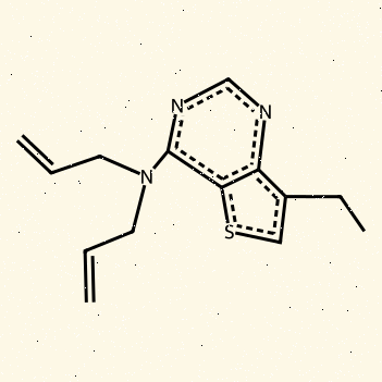 C=CCN(CC=C)c1ncnc2c(CC)csc12